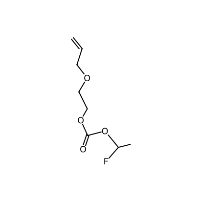 C=CCOCCOC(=O)OC(C)F